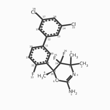 CC1(C)N=C(N)O[C@](C)(c2cc(-c3cc(Cl)cc(Cl)c3)ccc2F)C1(F)F